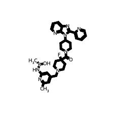 CB(O)Nc1cc(CN2CCC(F)(C(=O)N3CCC(n4c(-c5ccccn5)nc5cccnc54)CC3)CC2)cc(C)n1